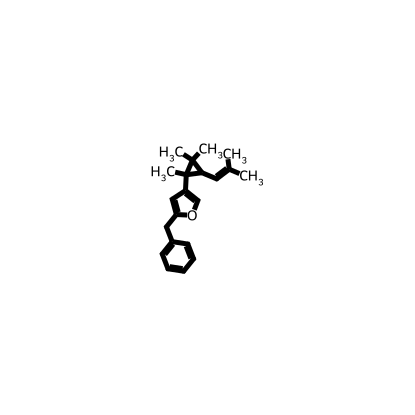 CC(C)=CC1C(C)(C)C1(C)c1coc(Cc2ccccc2)c1